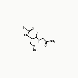 CCC(=O)N[C@@H](COC(C)(C)C)C(=O)NCC(N)=O